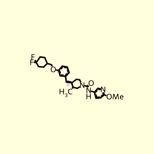 COc1ccc(NC(=O)N2CC/C(=C\c3cccc(OCC4CCC(F)(F)CC4)c3)C(C)C2)cn1